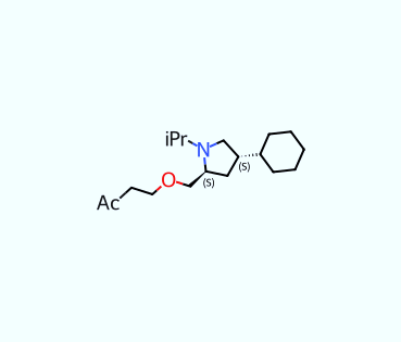 CC(=O)CCOC[C@@H]1C[C@@H](C2CCCCC2)CN1C(C)C